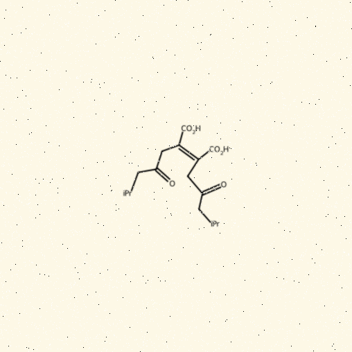 CC(C)CC(=O)CC(C(=O)O)=C(CC(=O)CC(C)C)C(=O)O